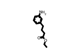 CCOC(=O)CCCc1cccc(N)c1